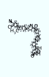 C[C@H]1CC2(CCN(c3ccc(C(=O)N4CCC(CN5CCN(c6cccc(N[C@@H]7CCC(=O)NC7=O)c6)CC5)CC4)nc3)CC2)CN1c1ccc(C#N)c(Cl)c1